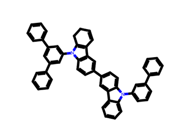 C1=Cc2c(n(-c3cc(-c4ccccc4)cc(-c4ccccc4)c3)c3ccc(-c4ccc5c(c4)c4ccccc4n5-c4cccc(-c5ccccc5)c4)cc23)CC1